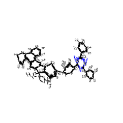 CC1(C)c2ccc(-c3ccc(-c4nc(-c5ccccc5)nc(-c5ccccc5)n4)cc3)cc2-c2cc3c4ccccc4c4ccccc4c3cc21